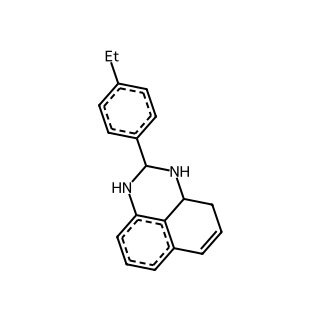 CCc1ccc(C2Nc3cccc4c3C(CC=C4)N2)cc1